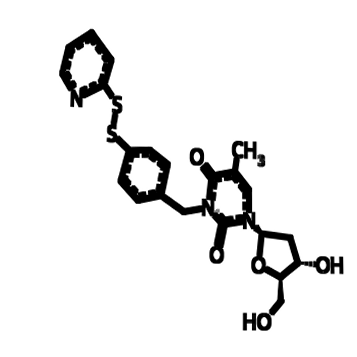 Cc1cn([C@H]2C[C@H](O)[C@@H](CO)O2)c(=O)n(Cc2ccc(SSc3ccccn3)cc2)c1=O